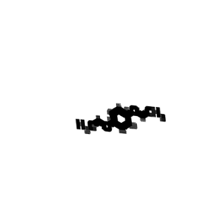 CCOC1=CC=C(OCC)C[CH]1